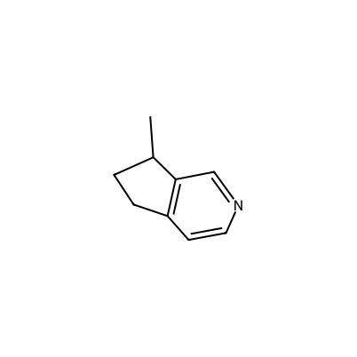 CC1CCc2ccncc21